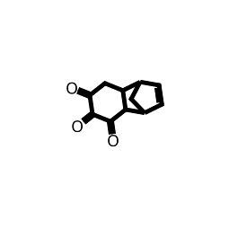 O=C1CC2C3C=CC(C3)C2C(=O)C1=O